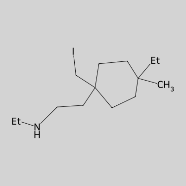 CCNCCC1(CI)CCC(C)(CC)CC1